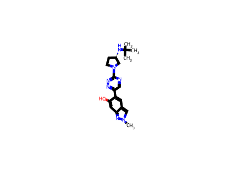 Cn1cc2cc(-c3cnc(N4CC[C@H](NC(C)(C)C)C4)nn3)c(O)cc2n1